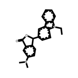 CCn1c2ccccc2c2cc(C3OC(=O)c4cc(N(C)C)ccc43)ccc21